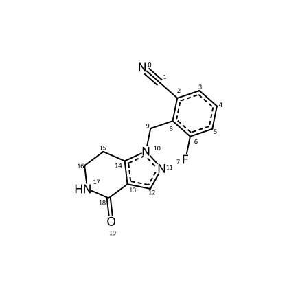 N#Cc1cccc(F)c1Cn1ncc2c1CCNC2=O